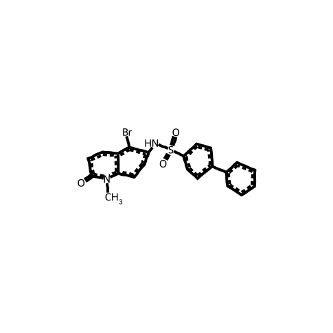 Cn1c(=O)ccc2c(Br)c(NS(=O)(=O)c3ccc(-c4ccccc4)cc3)ccc21